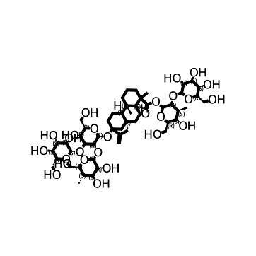 C=C1C[C@@]23CC[C@@H]4C(C)(C(=O)OC5O[C@H](CO)[C@@H](O)[C@H](C)[C@H]5OC5O[C@H](CO)[C@@H](O)[C@H](O)[C@H]5O)CCC[C@@]4(C)[C@@H]2CCC1(O[C@@H]1O[C@H](CO)[C@@H](O)C(O[C@@H]2O[C@H](CO)[C@@H](O)[C@H](O)[C@H]2O)[C@H]1O[C@@H]1O[C@H](CO)[C@@H](C)[C@H](O)[C@H]1O)C3